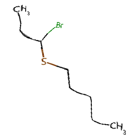 CCCCCSC(Br)CC